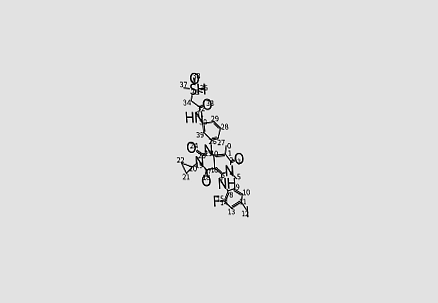 Cc1c(=O)n(C)c(Nc2ccc(I)cc2F)c2c(=O)n(C3CC3)c(=O)n(-c3cccc(NC(=O)C[SH](C)(C)=O)c3)c12